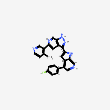 Cc1ccncc1-c1cc2c(-c3cc4c(-c5ccc(F)cc5)cncc4[nH]3)n[nH]c2cn1